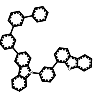 c1ccc(-c2cccc(-c3cccc(-c4ccc5c(c4)c4ccccc4n5-c4cccc(-c5cccc6c5oc5ccccc56)c4)c3)c2)cc1